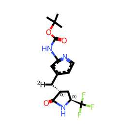 [2H]C(c1ccnc(NC(=O)OC(C)(C)C)c1)[C@@H]1C[C@@H](C(F)(F)F)NC1=O